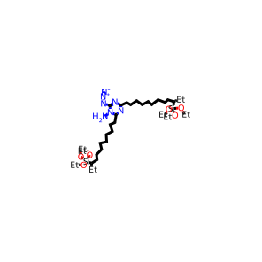 CCO[Si](OCC)(OCC)C(CC)CCCCCCCCCC1=NC(CCCCCCCCCC(CC)[Si](OCC)(OCC)OCC)N(N)C(N=[N+]=[N-])=N1